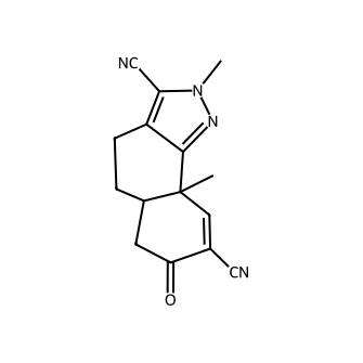 Cn1nc2c(c1C#N)CCC1CC(=O)C(C#N)=CC21C